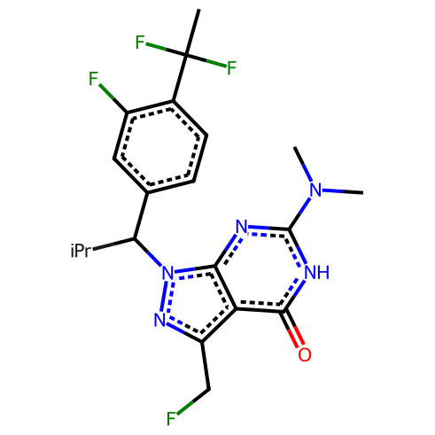 CC(C)C(c1ccc(C(C)(F)F)c(F)c1)n1nc(CF)c2c(=O)[nH]c(N(C)C)nc21